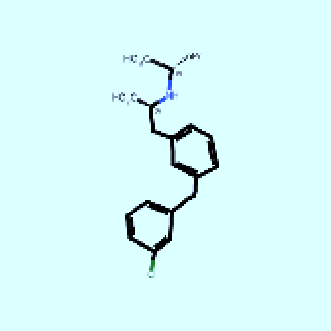 CCC[C@H](N[C@@H](Cc1cccc(Cc2cccc(Cl)c2)c1)C(=O)O)C(=O)O